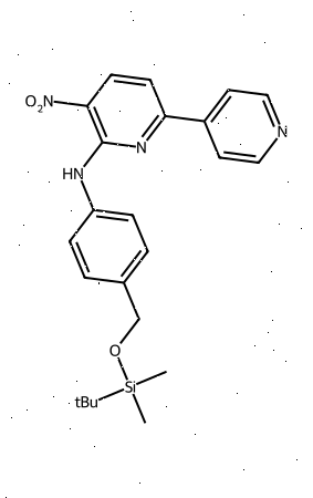 CC(C)(C)[Si](C)(C)OCc1ccc(Nc2nc(-c3ccncc3)ccc2[N+](=O)[O-])cc1